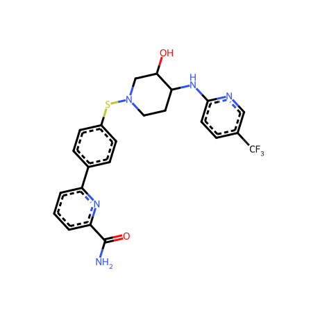 NC(=O)c1cccc(-c2ccc(SN3CCC(Nc4ccc(C(F)(F)F)cn4)C(O)C3)cc2)n1